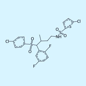 CC(CCNS(=O)(=O)c1ccc(Cl)s1)C(c1cc(F)ccc1F)S(=O)(=O)c1ccc(Cl)cc1